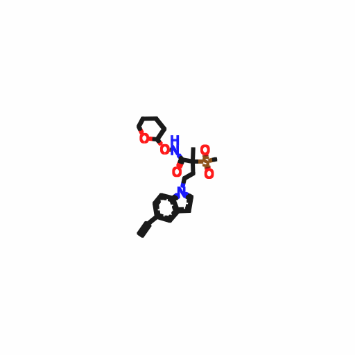 C#Cc1ccc2c(ccn2CCC(C)(C(=O)NOC2CCCCO2)S(C)(=O)=O)c1